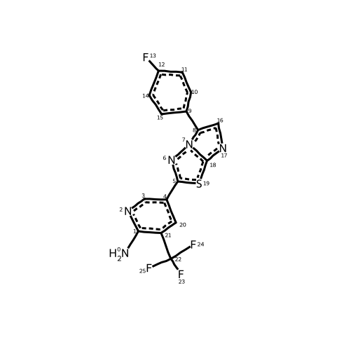 Nc1ncc(-c2nn3c(-c4ccc(F)cc4)cnc3s2)cc1C(F)(F)F